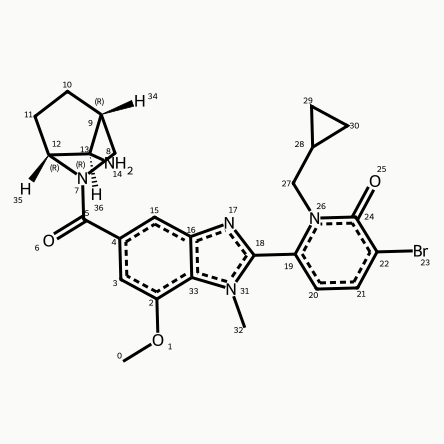 COc1cc(C(=O)N2C[C@H]3CC[C@@H]2[C@@H]3N)cc2nc(-c3ccc(Br)c(=O)n3CC3CC3)n(C)c12